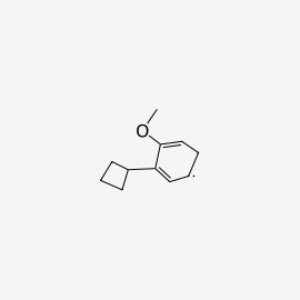 COC1=CC[CH]C=C1C1CCC1